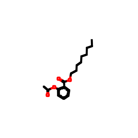 CCCCCCCCCOC(=O)c1ccccc1OC(C)=O